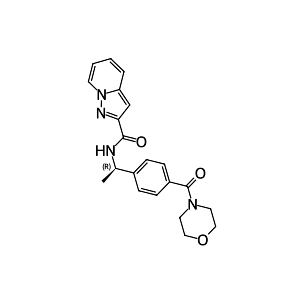 C[C@@H](NC(=O)c1cc2ccccn2n1)c1ccc(C(=O)N2CCOCC2)cc1